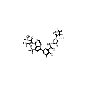 C[C@@](O)(C(=O)Nc1ncnn2c(-c3cc(F)c(Cl)c(C(=O)N[C@@H]4CN(C(=O)[C@@](C)(O)C(F)(F)F)C[C@@H]4F)c3)cc(C(F)(F)F)c12)C(F)(F)F